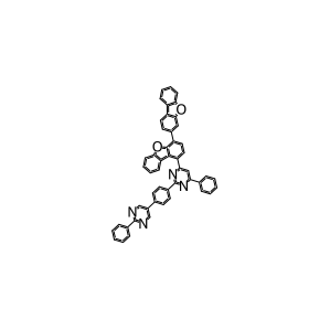 c1ccc(-c2cc(-c3ccc(-c4ccc5c(c4)oc4ccccc45)c4oc5ccccc5c34)nc(-c3ccc(-c4cnc(-c5ccccc5)nc4)cc3)n2)cc1